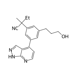 CCC(C)(C#N)c1cc(CCCO)cc(-c2ccnc3[nH]ncc23)c1